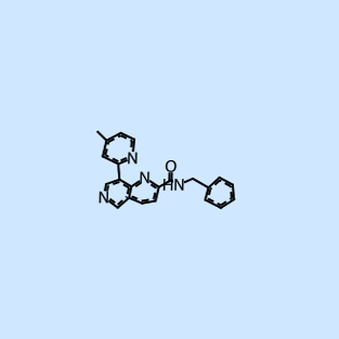 Cc1ccnc(-c2cncc3ccc(C(=O)NCc4ccccc4)nc23)c1